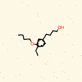 CCCCOc1cc(CCCCO)ccc1CC